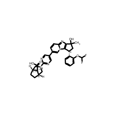 CC1(O)C[C@H](c2ccccc2OC(F)F)c2c1nc1ccc(-c3cnc(N4C[C@H]5CC[C@@H](C4)[C@@H]5C(=O)O)nc3)cn21